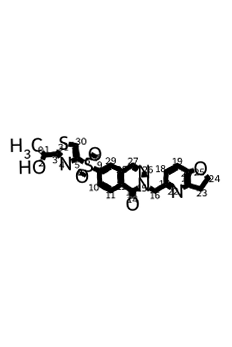 CC(O)c1nc(S(=O)(=O)c2ccc3c(=O)n(Cc4ccc5c(n4)CCO5)ncc3c2)cs1